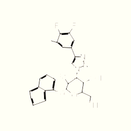 OCC1O[C@H](Sc2cccc3ccccc23)C(O)[C@@H](n2cc(-c3cc(F)c(F)c(F)c3)nn2)[C@H]1O